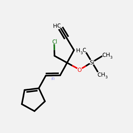 C#CCC(/C=C/C1=CCCC1)(CCl)O[Si](C)(C)C